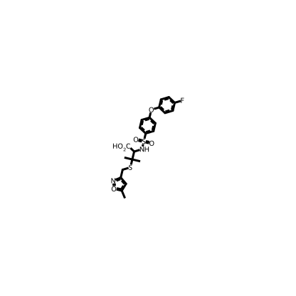 Cc1cc(CSC(C)(C)C(NS(=O)(=O)c2ccc(Oc3ccc(F)cc3)cc2)C(=O)O)no1